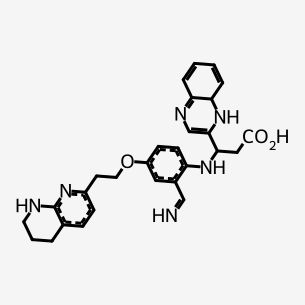 N=Cc1cc(OCCc2ccc3c(n2)NCCC3)ccc1NC(CC(=O)O)C1=CN=C2C=CC=CC2N1